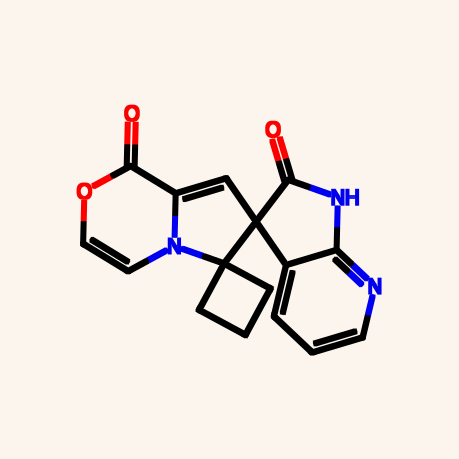 O=C1OC=CN2C1=CC1(C(=O)Nc3ncccc31)C21CCC1